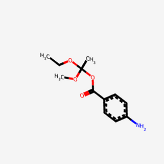 CCOC(C)(OC)OC(=O)c1ccc(N)cc1